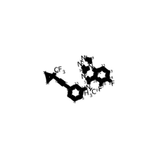 CN(c1cccc(C#CC2(C(F)(F)F)CC2)c1)c1nc2nncn2c2ccc(F)c(F)c12